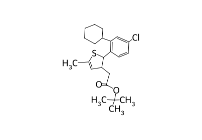 CC1=CC(CC(=O)OC(C)(C)C)C(c2ccc(Cl)cc2C2CCCCC2)S1